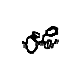 C[C@@H]1CCCN([C@@H](Cc2ccccc2)C(=O)O)C(=O)C1